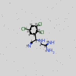 N#CC(NCC(=N)N)c1cc(Cl)cc(Cl)c1Cl